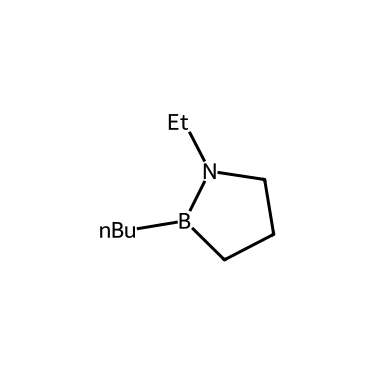 CCCCB1CCCN1CC